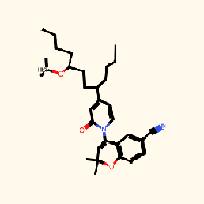 CCCCC(CCC(CCCC)c1ccn(C2=CC(C)(C)Oc3ccc(C#N)cc32)c(=O)c1)O[SiH](C)C